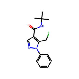 CC(C)(C)NC(=O)c1cnn(-c2ccccc2)c1CF